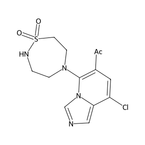 CC(=O)c1cc(Cl)c2cncn2c1N1CCNS(=O)(=O)CC1